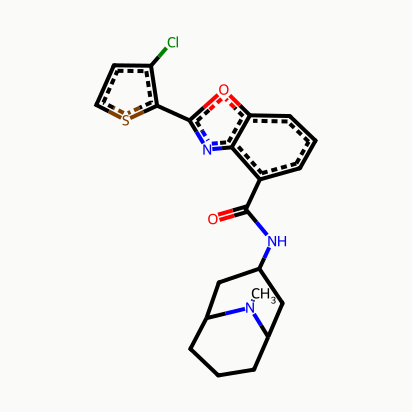 CN1C2CCCC1CC(NC(=O)c1cccc3oc(-c4sccc4Cl)nc13)C2